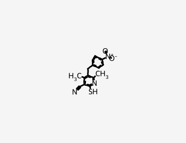 Cc1nc(S)c(C#N)c(C)c1Cc1ccc([N+](=O)[O-])cc1